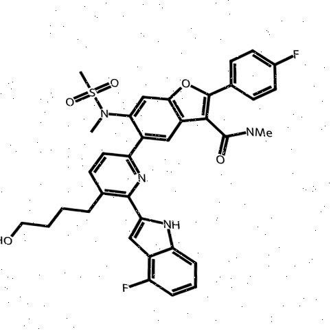 CNC(=O)c1c(-c2ccc(F)cc2)oc2cc(N(C)S(C)(=O)=O)c(-c3ccc(CCCCO)c(-c4cc5c(F)cccc5[nH]4)n3)cc12